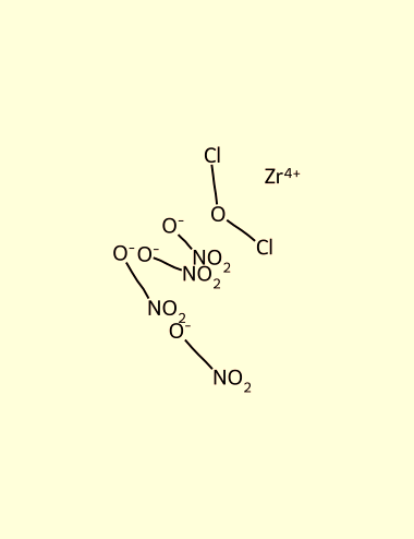 ClOCl.O=[N+]([O-])[O-].O=[N+]([O-])[O-].O=[N+]([O-])[O-].O=[N+]([O-])[O-].[Zr+4]